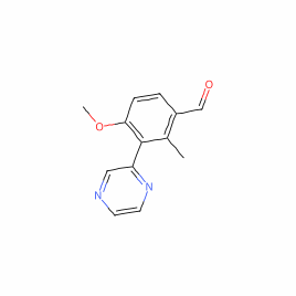 COc1ccc(C=O)c(C)c1-c1cnccn1